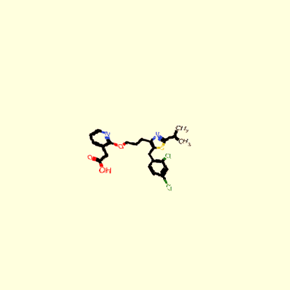 CC(C)c1nc(CCCOc2ncccc2CC(=O)O)c(Cc2ccc(Cl)cc2Cl)s1